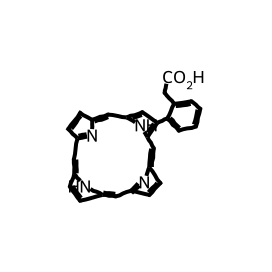 O=C(O)Cc1ccccc1-c1cc2cc3nc(cc4ccc(cc5nc(cc1[nH]2)C=C5)[nH]4)C=C3